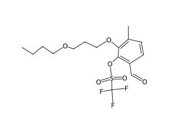 CCCCOCCCOc1c(C)ccc(C=O)c1OS(=O)(=O)C(F)(F)F